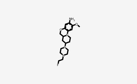 COc1cc2c(cc1N)OCC1CC(N3CCN(CCF)CC3)CCN21